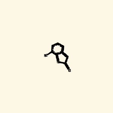 N#Cc1cccc2c1=NC(=O)C=2